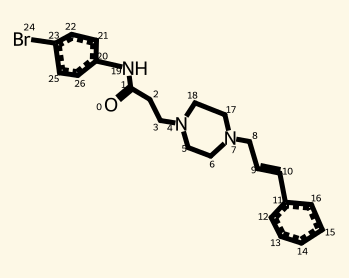 O=C(CCN1CCN(C/C=C/c2ccccc2)CC1)Nc1ccc(Br)cc1